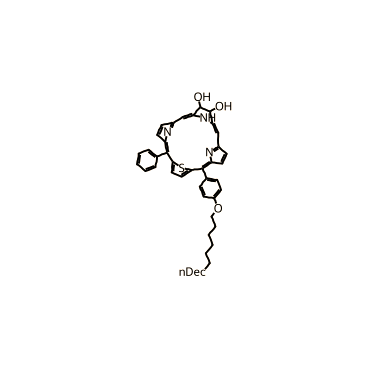 CCCCCCCCCCCCCCCCOc1ccc(-c2c3nc(cc4[nH]c(cc5nc(c(-c6ccccc6)c6ccc2s6)C=C5)C(O)C4O)C=C3)cc1